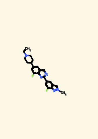 CCN1CCC(c2cc(F)c3nc(-c4cc(F)c5nn(C)cc5c4)ncc3c2)CC1